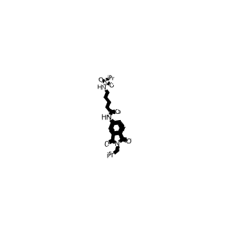 CC(C)CN1C(=O)c2ccc(NC(=O)CCCCNS(=O)(=O)C(C)C)cc2C1=O